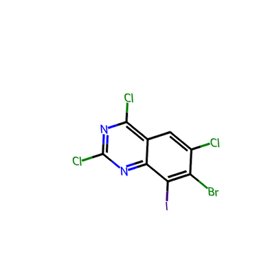 Clc1nc(Cl)c2cc(Cl)c(Br)c(I)c2n1